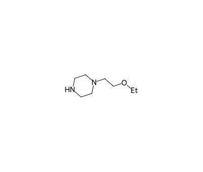 [CH2]COCCN1CCNCC1